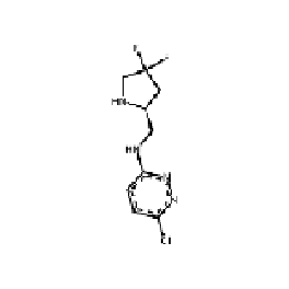 FC1(F)CN[C@H](CNc2ccc(Cl)nn2)C1